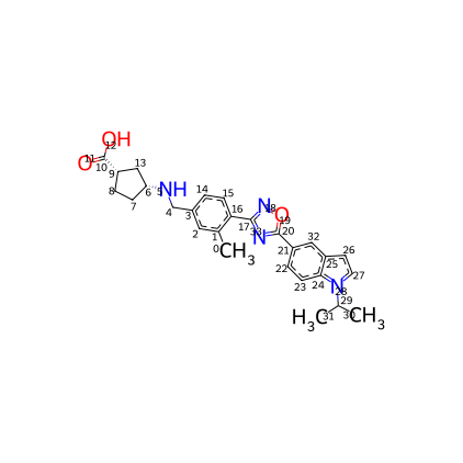 Cc1cc(CN[C@@H]2CC[C@H](C(=O)O)C2)ccc1-c1noc(-c2ccc3c(ccn3C(C)C)c2)n1